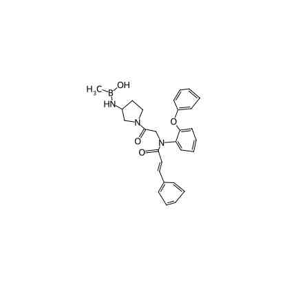 CB(O)NC1CCN(C(=O)CN(C(=O)/C=C/c2ccccc2)c2ccccc2Oc2ccccc2)C1